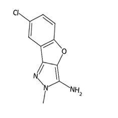 Cn1nc2c(oc3ccc(Cl)cc32)c1N